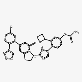 NC(=O)Oc1ccc(-c2cnc([C@@H]3CCc4cc(-c5cc(Cl)ccc5-n5cnnn5)cc(=O)n43)[nH]2)c(C2CCO2)c1